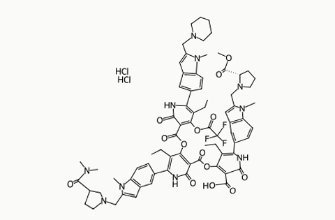 CCc1c(-c2ccc3c(c2)cc(CN2CCC[C@H]2C(=O)OC)n3C)[nH]c(=O)c(C(=O)O)c1OC(=O)c1c(OC(=O)c2c(OC(=O)C(F)(F)F)c(CC)c(-c3ccc4c(c3)cc(CN3CCCCC3)n4C)[nH]c2=O)c(CC)c(-c2ccc3c(c2)cc(CN2CCC(C(=O)N(C)C)C2)n3C)[nH]c1=O.Cl.Cl